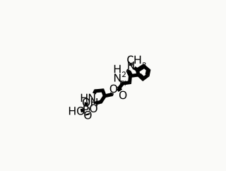 Cn1cc(C[C@@H](N)C(=O)OCC2CCNC(OP(=O)(O)O)C2)c2ccccc21